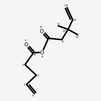 C=CCCC(=O)OC(=O)CC(C)(C)C=C